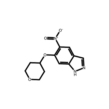 O=[N+]([O-])c1cc2cn[nH]c2cc1OC1CCOCC1